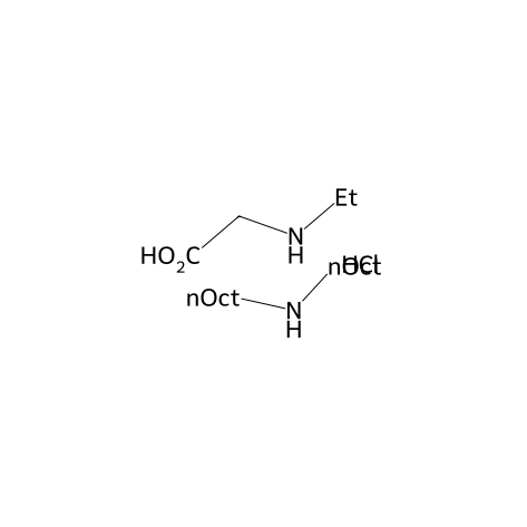 CCCCCCCCNCCCCCCCC.CCNCC(=O)O.Cl